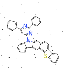 c1ccc(-c2cc(-n3c4ccccc4c4cc5c(ccc6c7ccccc7sc56)cc43)nc(-c3ccccc3)n2)cc1